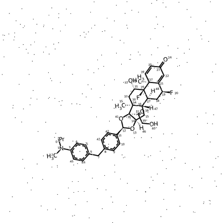 CC(C)N(C)c1ccc(Cc2ccc([C@@H]3O[C@@H]4C[C@H]5[C@@H]6C[C@H](F)C7=CC(=O)C=C[C@]7(C)[C@@]6(F)[C@@H](O)C[C@]5(C)[C@]4(C(=O)CO)O3)cc2)cc1